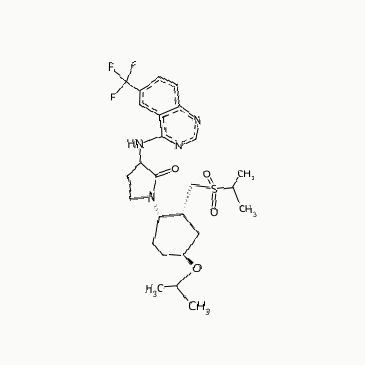 CC(C)O[C@H]1CC[C@H](N2CCC(Nc3ncnc4ccc(C(F)(F)F)cc34)C2=O)[C@H](CS(=O)(=O)C(C)C)C1